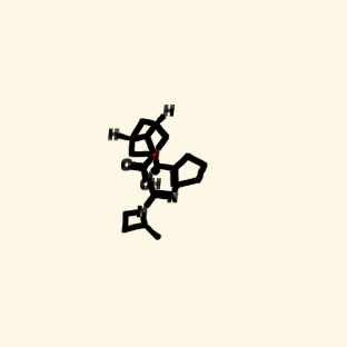 C[C@H]1CCN1c1nc2c(c(N3C[C@H]4C[C@@H](C3)C4CC(=O)O)n1)CCC2